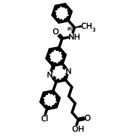 C[C@@H](NC(=O)c1ccc2nc(-c3ccc(Cl)cc3)c(CCCCC(=O)O)nc2c1)c1ccccc1